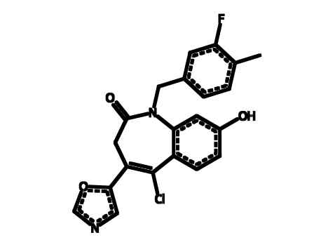 Cc1ccc(CN2C(=O)CC(c3cnco3)=C(Cl)c3ccc(O)cc32)cc1F